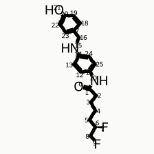 O=C(CCCC[C@@H](F)CF)Nc1ccc(NCc2ccc(O)cc2)cc1